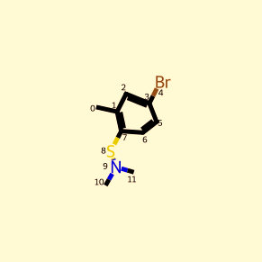 Cc1cc(Br)ccc1SN(C)C